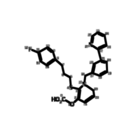 O=C(O)OC1=C(SCCCc2ccc(F)cc2)N(Cc2cccc(-c3ccccn3)c2)CC=C1